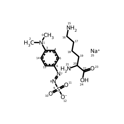 CN(C)c1ccc(/N=N/S(=O)(=O)[O-])cc1.NCCCCC(N)C(=O)O.[Na+]